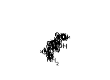 CO/N=C(/C(=O)NC1C(=O)N2C(C(=O)O)=C(COC(=O)N3CCN(C)CC3)C[S+]([O-])[C@H]12)c1nsc(N)n1